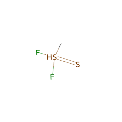 C[SH](F)(F)=S